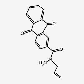 C=CCN(N)C(=O)c1ccc2c(c1)C(=O)c1ccccc1C2=O